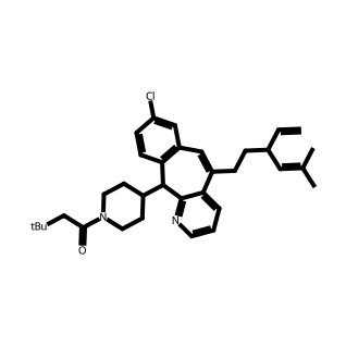 C=CC(C=C(C)C)CCC1=Cc2cc(Cl)ccc2C(C2CCN(C(=O)CC(C)(C)C)CC2)c2ncccc21